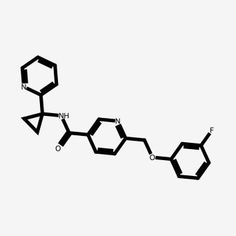 O=C(NC1(c2ccccn2)CC1)c1ccc(COc2cccc(F)c2)nc1